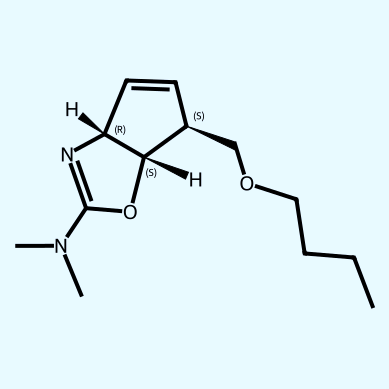 CCCCOC[C@@H]1C=C[C@H]2N=C(N(C)C)O[C@@H]12